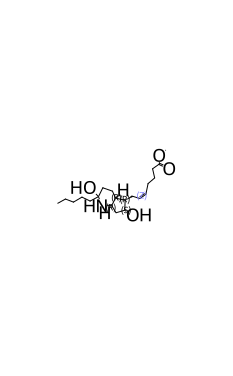 CCCCCC1(O)CC[C@@H]2[C@@H](C/C=C\CCCC(=O)OC)[C@@H](O)C[C@H]2N1